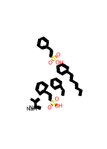 C=CC(=C)C.C=CC=CC=Cc1ccccc1.C=Cc1ccccc1.O=S(=O)(O)C=Cc1ccccc1.O=S(=O)(O)C=Cc1ccccc1.[NaH].[NaH]